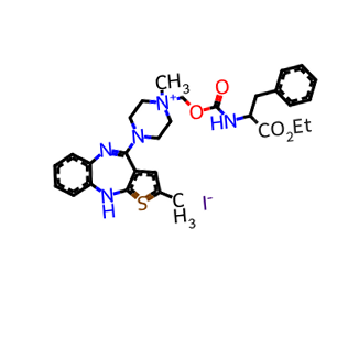 CCOC(=O)C(Cc1ccccc1)NC(=O)OC[N+]1(C)CCN(C2=Nc3ccccc3Nc3sc(C)cc32)CC1.[I-]